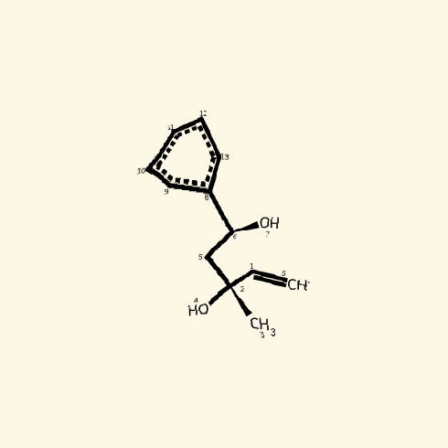 [CH]=C[C@](C)(O)C[C@H](O)c1ccccc1